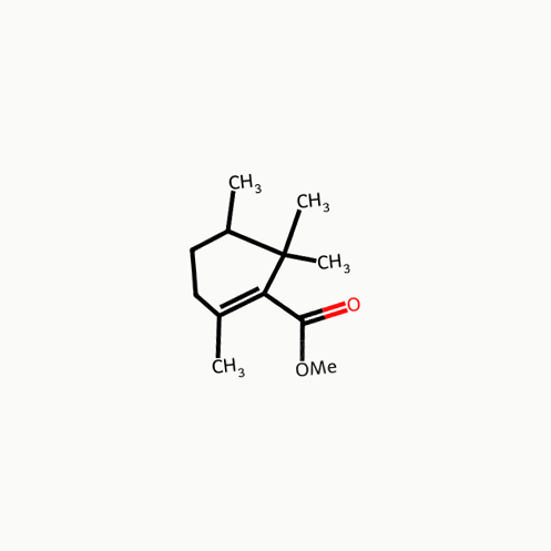 COC(=O)C1=C(C)CCC(C)C1(C)C